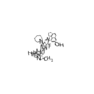 C=C1CN2C[C@H]3C[C@H]3[C@]2(COc2nc(N3CCCCCC3)c3cnc(-c4cc(O)cc5ccc6c(c45)CCC6)c(F)c3n2)C1